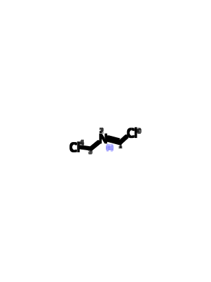 Cl/C=N/CCl